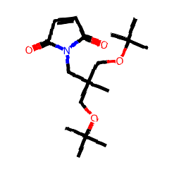 CC(COC(C)(C)C)(COC(C)(C)C)CN1C(=O)C=CC1=O